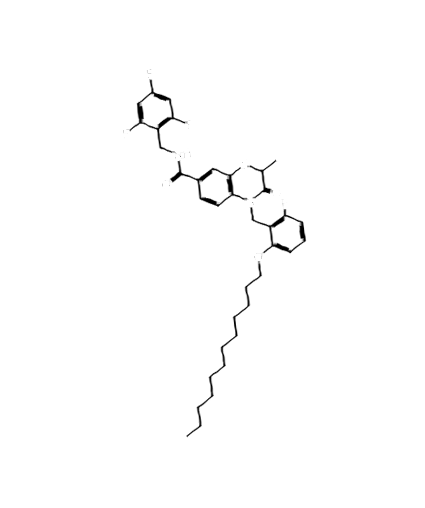 CCCCCCCCCCCCOc1cccc(F)c1CN1C(=O)C(C)Sc2cc(C(=O)NCc3c(F)cc(F)cc3F)ccc21